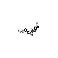 O=C(Nc1ccc2[nH]ccc2c1)Nc1nnc(-c2cccc(OC(F)(F)F)c2)s1